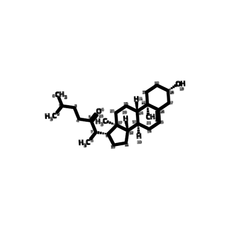 CC(C)CCC(=O)C(C)[C@H]1CC[C@H]2[C@@H]3CC=C4C[C@@H](O)CC[C@]4(C)[C@H]3CC[C@]12C